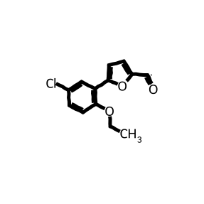 CCOc1ccc(Cl)cc1-c1ccc([C]=O)o1